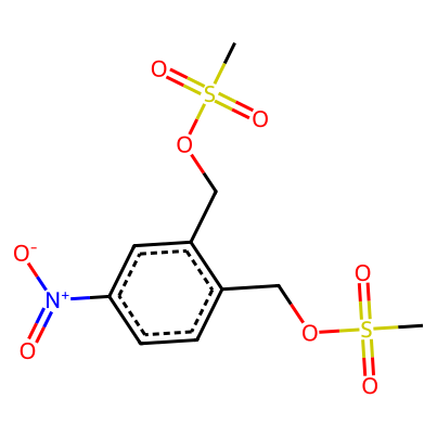 CS(=O)(=O)OCc1ccc([N+](=O)[O-])cc1COS(C)(=O)=O